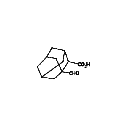 O=CC12CC3CC(CC(C3)C1C(=O)O)C2